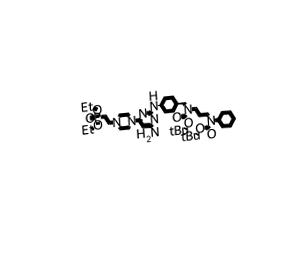 CCOP(=O)(CCN1CCN(c2cc(N)nc(N[C@H]3CC[C@H](CN(CCCN(C(=O)OC(C)(C)C)C4CCCCC4)C(=O)OC(C)(C)C)CC3)n2)CC1)OCC